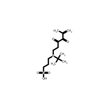 C=C(C)C(=O)C(=O)CCN(CCCS(=O)(=O)O)C(C)(C)C